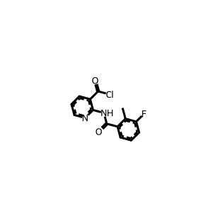 Cc1c(F)cccc1C(=O)Nc1ncccc1C(=O)Cl